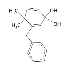 CC1(C)C=CC(O)(O)C=C1Cc1ccccc1